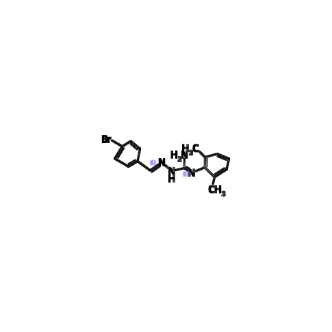 Cc1cccc(C)c1/N=C(\N)N/N=C/c1ccc(Br)cc1